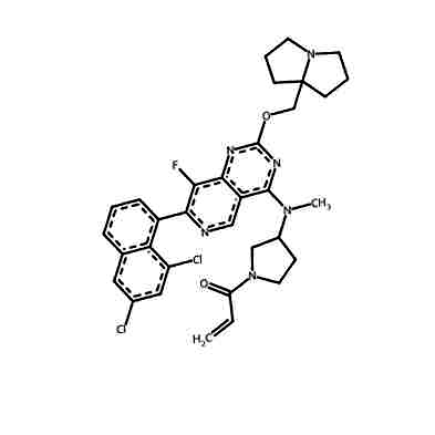 C=CC(=O)N1CCC(N(C)c2nc(OCC34CCCN3CCC4)nc3c(F)c(-c4cccc5cc(Cl)cc(Cl)c45)ncc23)C1